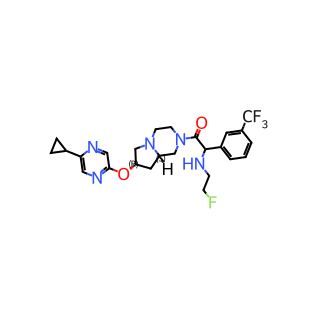 O=C(C(NCCF)c1cccc(C(F)(F)F)c1)N1CCN2C[C@H](Oc3cnc(C4CC4)cn3)C[C@H]2C1